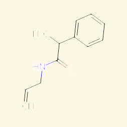 C=CCNC(=O)C(C)c1ccccc1